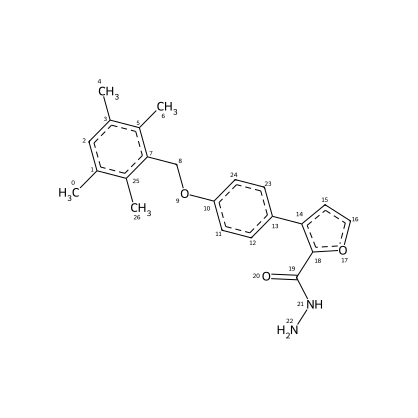 Cc1cc(C)c(C)c(COc2ccc(-c3ccoc3C(=O)NN)cc2)c1C